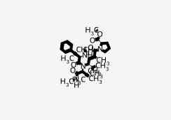 CNC(=O)[C@@H](N(C(=O)[C@@H](NC)C(C)(C)c1ccccc1)[C@H](/C=C(\C)C(=O)N1CCC[C@H]1C(=O)OC)C(C)C)C(C)(C)C